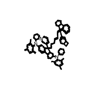 Cc1cc(C)c(N(c2ccccc2)c2ccc3c(c2)C(CCCCCCC2(c4ccc5c(c4)CC5)c4ccccc4-c4ccccc42)(c2cccnc2)c2cc(N(c4ccccc4)c4c(C)cc(C)cc4C)ccc2-3)c(C)c1